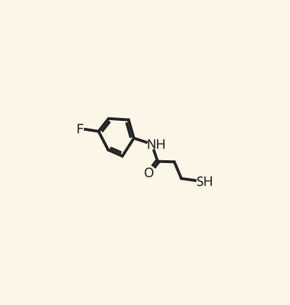 O=C(CCS)Nc1ccc(F)cc1